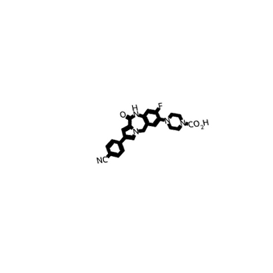 N#Cc1ccc(-c2cc3n(c2)Cc2cc(N4CCN(C(=O)O)CC4)c(F)cc2NC3=O)cc1